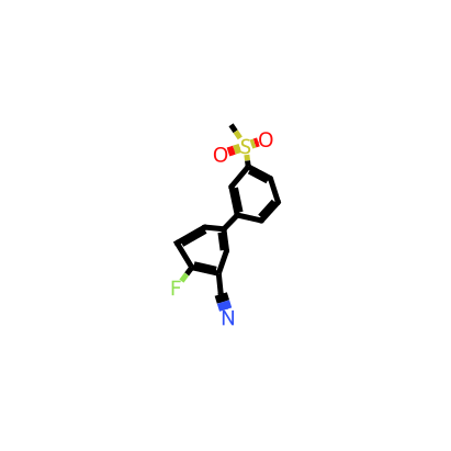 CS(=O)(=O)c1cccc(-c2ccc(F)c(C#N)c2)c1